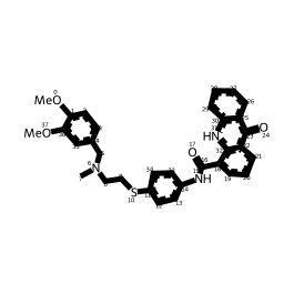 COc1ccc(CN(C)CCSc2ccc(NC(=O)c3cccc4c(=O)c5ccccc5[nH]c34)cc2)cc1OC